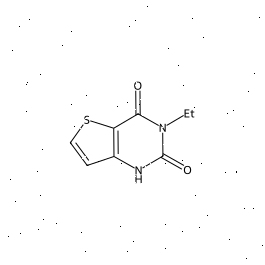 CCn1c(=O)[nH]c2ccsc2c1=O